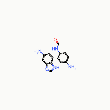 Nc1ccc(NC=O)cc1.Nc1ccc2[nH]cnc2c1